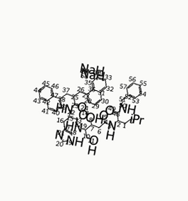 CC(C)CC(NC(=O)CC(O)C(CO)NC(=O)C(Cc1c[nH]cn1)NC(=O)C(Cc1cccc2ccccc12)Cc1cccc2ccccc12)C(=O)NCc1ccccc1.[NaH].[NaH]